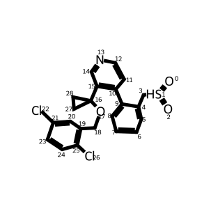 O=[SH](=O)Cc1ccccc1-c1ccncc1C1(OCc2cc(Cl)ccc2Cl)CC1